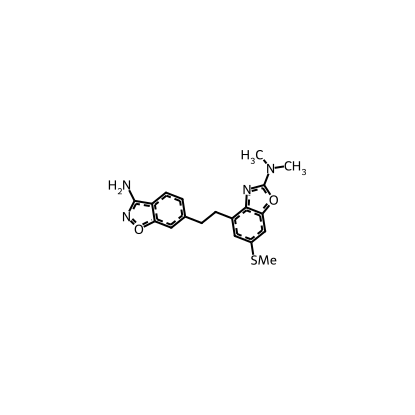 CSc1cc(CCc2ccc3c(N)noc3c2)c2nc(N(C)C)oc2c1